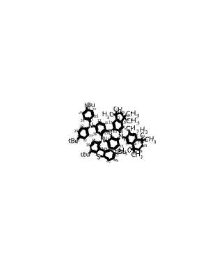 Cc1cc2c(cc1N1c3cc4c(cc3B3c5ccc(N(c6ccc(C(C)(C)C)cc6)c6ccc(C(C)(C)C)cc6)cc5N(c5ccc(C(C)(C)C)c6sc7ccccc7c56)c5cc(C(C)(C)C)cc1c53)C(C)(C)CC4(C)C)C(C)(C)CCC2(C)C